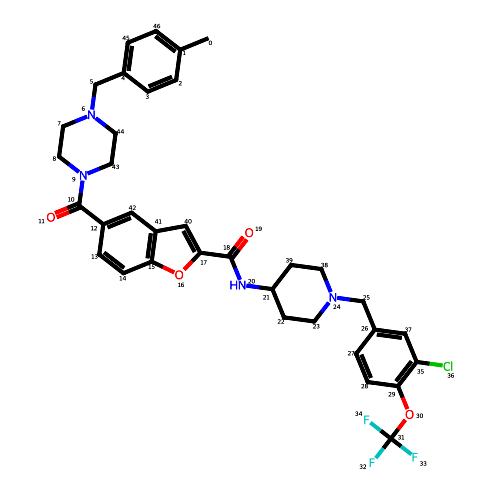 Cc1ccc(CN2CCN(C(=O)c3ccc4oc(C(=O)NC5CCN(Cc6ccc(OC(F)(F)F)c(Cl)c6)CC5)cc4c3)CC2)cc1